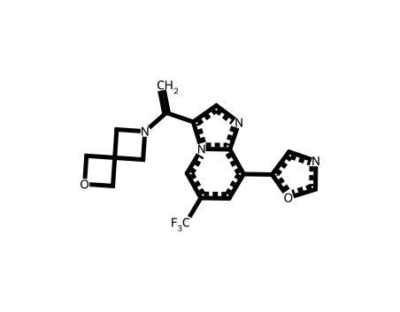 C=C(c1cnc2c(-c3cnco3)cc(C(F)(F)F)cn12)N1CC2(COC2)C1